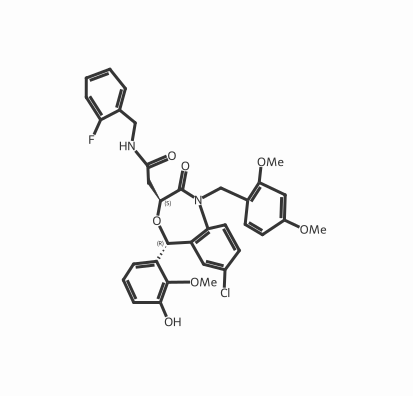 COc1ccc(CN2C(=O)[C@H](CC(=O)NCc3ccccc3F)O[C@@H](c3cccc(O)c3OC)c3cc(Cl)ccc32)c(OC)c1